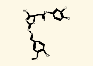 COc1cc(/C=N/N=C2/N=C(O)C(CC(=O)Nc3ccc(Cl)c(Cl)c3)S2)ccc1O